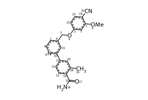 COc1cc(OCc2ccnc(-c3ccc(C(N)=O)c(C)c3)c2)ccc1C#N